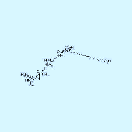 CC(=O)[C@H](CCCCNC(=O)[C@@H](N)CCCCNC(=O)[C@@H](N)CCCCNC(=O)CC[C@H](NC(=O)CCCCCCCCCCCCCCCCC(=O)O)C(=O)O)NC(=O)C(C)(C)N